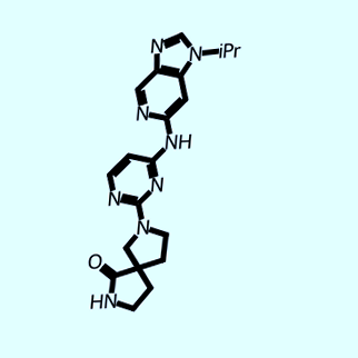 CC(C)n1cnc2cnc(Nc3ccnc(N4CCC5(CCNC5=O)C4)n3)cc21